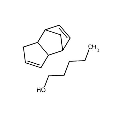 C1=CC2C3C=CC(C3)C2C1.CCCCCO